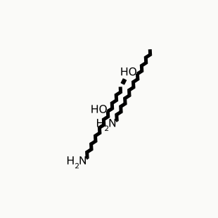 C=C.CCCCCCC(O)CCCCCCCCCCCN.CCCCCCC(O)CCCCCCCCCCCN